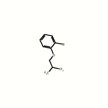 FC(F)(F)C(COc1ccccc1Br)C(F)(F)F